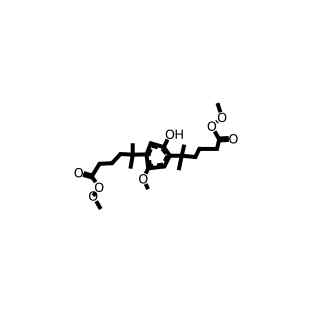 COOC(=O)CCCC(C)(C)c1cc(OC)c(C(C)(C)CCCC(=O)OOC)cc1O